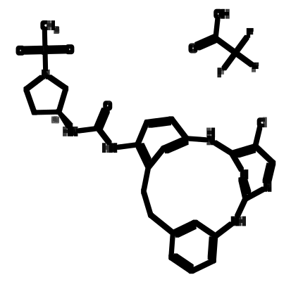 CS(=O)(=O)N1CC[C@H](NC(=O)Nc2ccc3cc2CCc2cccc(c2)Nc2ncc(Cl)c(n2)N3)C1.O=C(O)C(F)(F)F